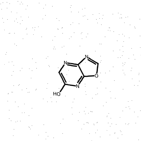 Oc1cnc2ncoc2n1